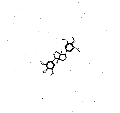 COc1cc([C@H]2OC[C@H]3[C@@H]2CO[C@@H]3c2cc(OC)c(OC)c(OC)c2)cc(OC)c1O